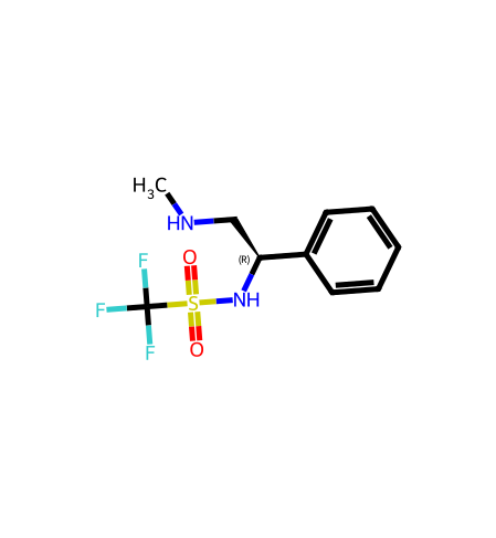 CNC[C@H](NS(=O)(=O)C(F)(F)F)c1ccccc1